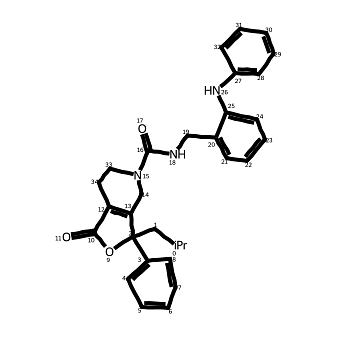 CC(C)CC1(c2ccccc2)OC(=O)C2=C1CN(C(=O)NCc1ccccc1Nc1ccccc1)CC2